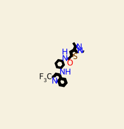 Cc1nn(C)c2sc(C(=O)N[C@@H]3CCC[C@H](Nc4cc(C(F)(F)F)nc5ccccc45)C3)cc12